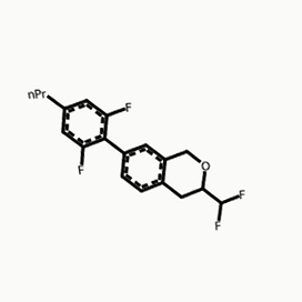 CCCc1cc(F)c(-c2ccc3c(c2)COC(C(F)F)C3)c(F)c1